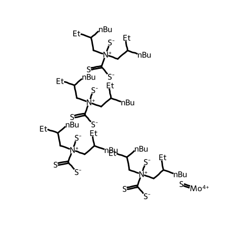 CCCCC(CC)C[N+]([S-])(CC(CC)CCCC)C(=S)[S-].CCCCC(CC)C[N+]([S-])(CC(CC)CCCC)C(=S)[S-].CCCCC(CC)C[N+]([S-])(CC(CC)CCCC)C(=S)[S-].CCCCC(CC)C[N+]([S-])(CC(CC)CCCC)C(=S)[S-].[S]=[Mo+4]